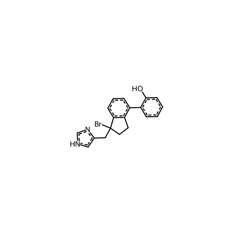 Oc1ccccc1-c1cccc2c1CCC2(Br)Cc1c[nH]cn1